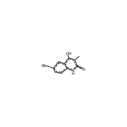 Cc1c(O)c2cc(C(C)(C)C)ccc2[nH]c1=O